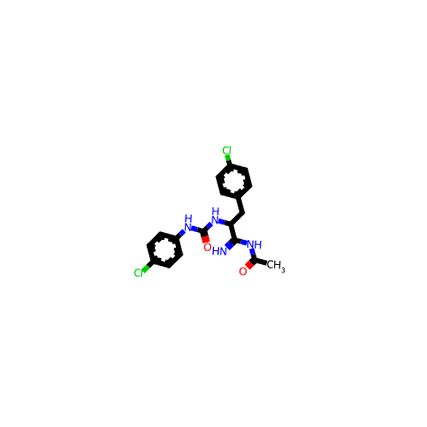 CC(=O)NC(=N)C(Cc1ccc(Cl)cc1)NC(=O)Nc1ccc(Cl)cc1